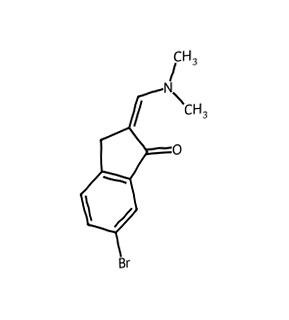 CN(C)/C=C1/Cc2ccc(Br)cc2C1=O